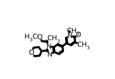 COC[C@@H](C)n1c(C2CCOCC2)nc2ccc(-c3cc(C)c(=O)n(C)c3)cc21